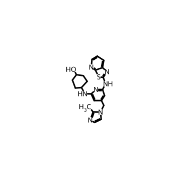 Cc1nccn1Cc1cc(Nc2nc3cccnc3s2)nc(NC2CCC(O)CC2)c1